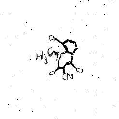 Cn1c(=O)c(C#N)c(Cl)c2cccc(Cl)c21